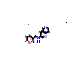 C1=NCCc2ncc(NCC3CCCOC3)cc21